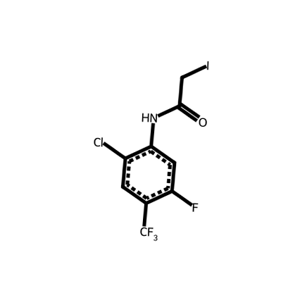 O=C(CI)Nc1cc(F)c(C(F)(F)F)cc1Cl